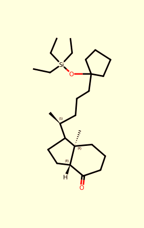 CC[Si](CC)(CC)OC1(CCC[C@H](C)C2CC[C@H]3C(=O)CCC[C@]23C)CCCC1